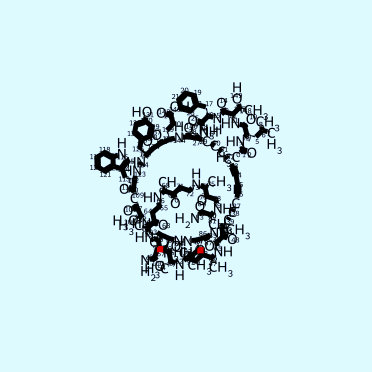 CC(=O)N[C@@H](CC(C)C)C(=O)N[C@H](C(=O)N[C@@H](Cc1ccccc1)C(=O)N[C@]1(C)CCCCC#CC#CCCC[C@@](C)(C(=O)CN[C@@H](C)C(=O)CCN[C@@H](C)C(=O)CCN[C@@H](C)C(=O)CCN[C@@H](C)C(=O)CCN[C@@H](C)C(=O)CN[C@H](C)C(N)=O)NC(=O)[C@H](CC(C)C)NN[C@@H](CCC(N)=O)C(=O)CN[C@@H](C)C(=O)CC(=O)[C@H](Cc2c[nH]c3ccccc23)NN[C@@H](Cc2ccc(O)cc2)C(=O)C(=O)[C@H](CCC(=O)O)NC1=O)[C@@H](C)O